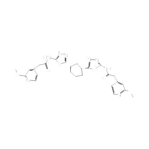 COc1cc(CC(=O)Nc2nnc([C@H]3CCC[C@H](c4nnc(NC(=O)Cc5ccnc(OC)c5)s4)C3)s2)ccn1